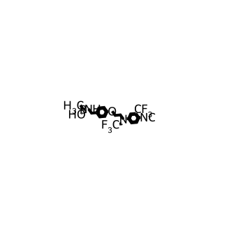 [C-]#[N+]c1ccc(N(CCOc2ccc(CNB(C)O)cc2)CC(F)(F)F)cc1C(F)(F)F